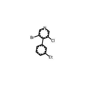 CCc1cccc(-c2c(Cl)cncc2Br)c1